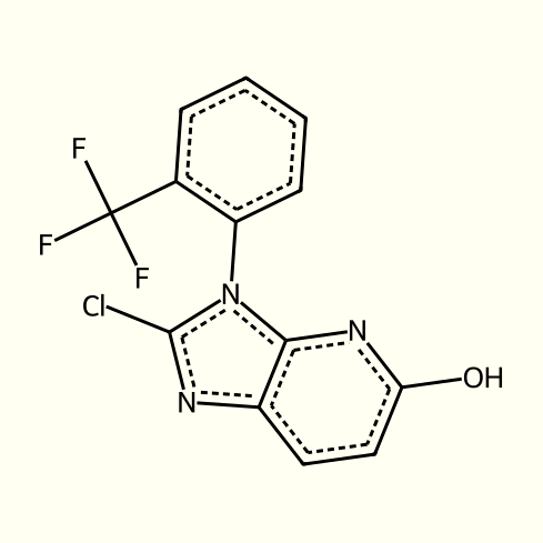 Oc1ccc2nc(Cl)n(-c3ccccc3C(F)(F)F)c2n1